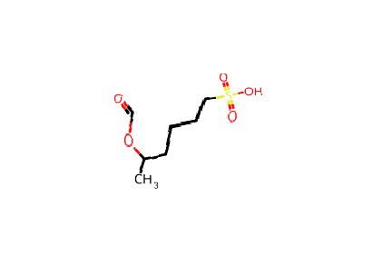 CC(CCCCS(=O)(=O)O)O[C]=O